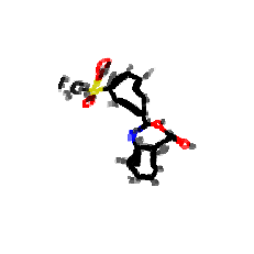 O=c1oc(-c2cccc(S(=O)(=O)C(F)(F)F)c2)nc2ccccc12